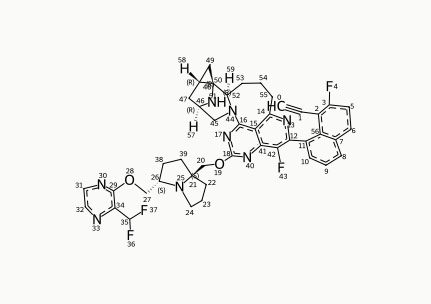 C#Cc1c(F)ccc2cccc(-c3nc4c5c(nc(OC[C@@]67CCCN6[C@H](COc6nccnc6C(F)F)CC7)nc5c3F)N3C[C@H]5C[C@@H]6C[C@]6(N5)[C@H]3CCC4)c12